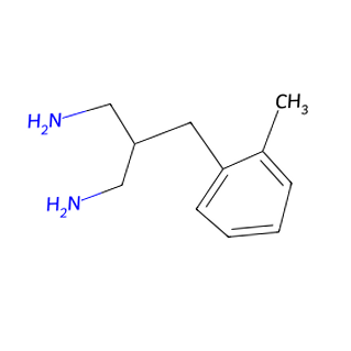 Cc1ccccc1CC(CN)CN